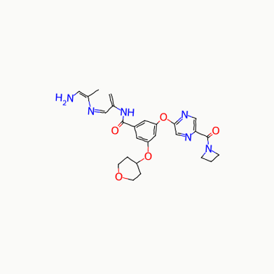 C=C(/C=N\C(C)=C/N)NC(=O)c1cc(Oc2cnc(C(=O)N3CCC3)cn2)cc(OC2CCOCC2)c1